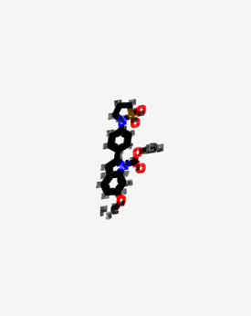 CC(C)(C)OC(=O)n1c(-c2ccc(N3CCCS3(=O)=O)cc2)cc2ccc(OC(F)(F)F)cc21